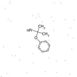 CCCC(C)(C)Oc1ccccc1